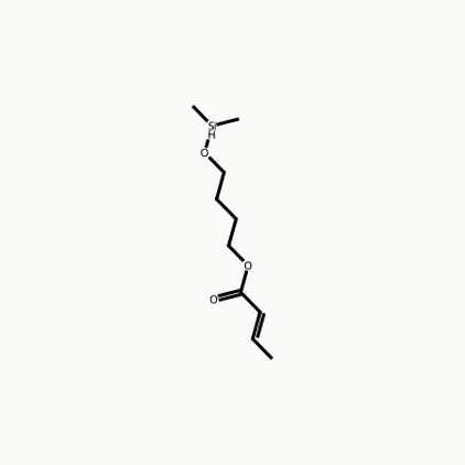 CC=CC(=O)OCCCCO[SiH](C)C